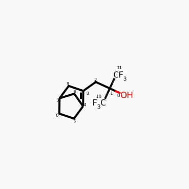 OC(CC1=C2CCC(C2)C1)(C(F)(F)F)C(F)(F)F